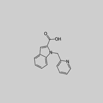 O=C(O)c1cc2ccccc2n1Cc1ccccn1